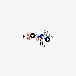 CCS(=O)(=O)c1ccc(NC(=O)c2cc(C)n(-c3ccccc3C(F)(F)F)c2C)cc1